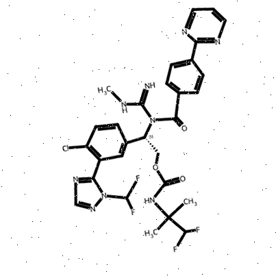 CNC(=N)N(C(=O)c1ccc(-c2ncccn2)cc1)[C@H](COC(=O)NC(C)(C)C(F)F)c1ccc(Cl)c(-c2ncnn2C(F)F)c1